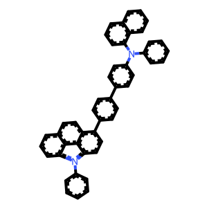 c1ccc(N(c2ccc(-c3ccc(-c4ccc5c6c4ccc4cccc(c46)n5-c4ccccc4)cc3)cc2)c2cccc3ccccc23)cc1